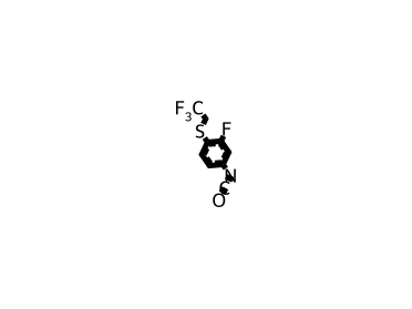 O=C=Nc1ccc(SCC(F)(F)F)c(F)c1